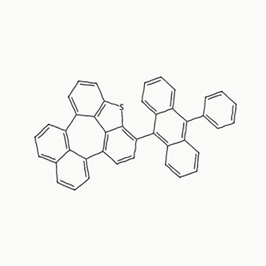 c1ccc(-c2c3ccccc3c(-c3ccc4c5c3sc3cccc(c35)-c3cccc5cccc-4c35)c3ccccc23)cc1